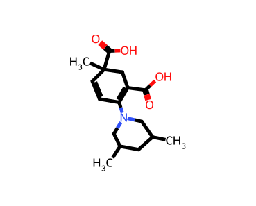 CC1CC(C)CN(C2=C(C(=O)O)CC(C)(C(=O)O)C=C2)C1